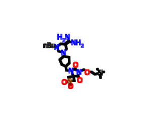 CCCCN1CC(=C(N)N)CN(C2CCC(CN3C(=O)N(COCC[Si](C)(C)C)C(=O)C34CS(=O)(=O)C4)CC2)C1